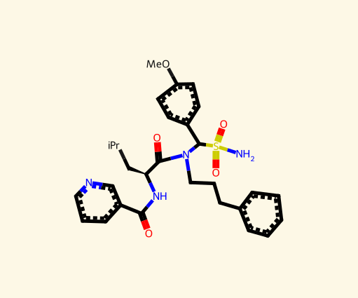 COc1ccc(C(N(CCCc2ccccc2)C(=O)[C@H](CC(C)C)NC(=O)c2cccnc2)S(N)(=O)=O)cc1